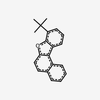 CC(C)(C)c1cccc2c1oc1ccc3ccccc3c12